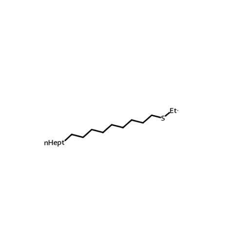 C[CH]SCCCCCCCCCCCCCCCC